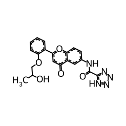 CC(O)COc1ccccc1-c1cc(=O)c2cc(NC(=O)c3nnn[nH]3)ccc2o1